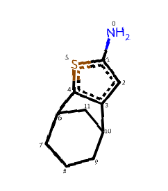 Nc1cc2c(s1)C1CCCC2C1